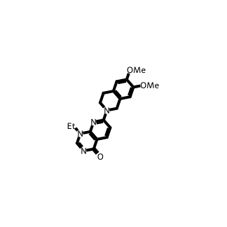 CCn1cnc(=O)c2ccc(N3CCc4cc(OC)c(OC)cc4C3)nc21